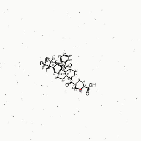 O=C(O)C12CCC(C(=O)N3CCCC4(S(=O)(=O)c5ccccc5)c5ccc(C(F)(C(F)(F)F)C(F)(F)F)cc5CCC34)(CC1)CC2